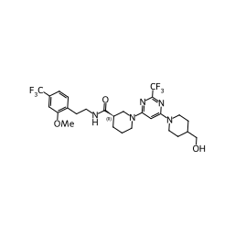 COc1cc(C(F)(F)F)ccc1CCNC(=O)[C@@H]1CCCN(c2cc(N3CCC(CO)CC3)nc(C(F)(F)F)n2)C1